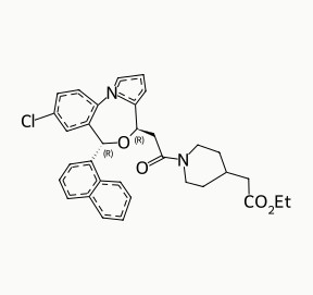 CCOC(=O)CC1CCN(C(=O)C[C@H]2O[C@H](c3cccc4ccccc34)c3cc(Cl)ccc3-n3cccc32)CC1